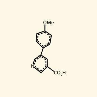 COc1ccc(-c2cncc(C(=O)O)c2)cc1